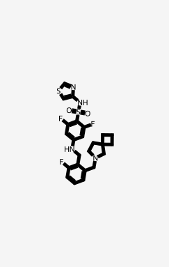 O=S(=O)(Nc1cscn1)c1c(F)cc(NCc2c(F)cccc2CN2CCC3(CCC3)C2)cc1F